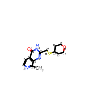 Cc1nccc2c(=O)[nH]c(CSC3CCOCC3)nc12